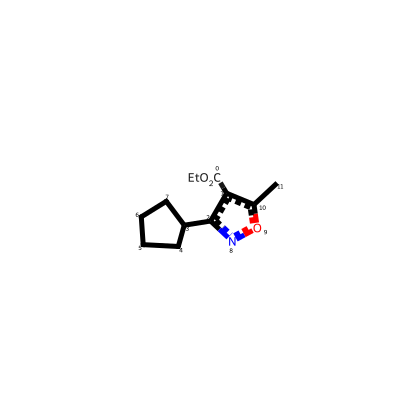 CCOC(=O)c1c(C2CCCC2)noc1C